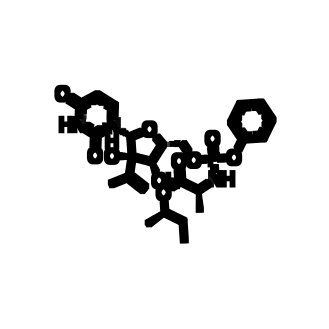 C=C(C)[C@@]1(O)[C@H](O)[C@@H](COP(=O)(N[C@@H](C)C(=O)O[C@H](C)CC)Oc2ccccc2)O[C@H]1n1ccc(=O)[nH]c1=O